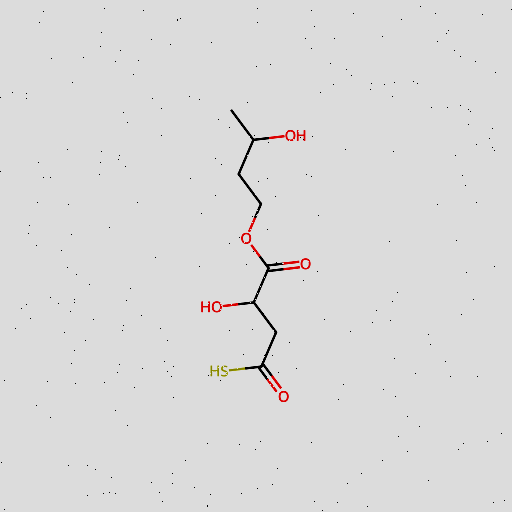 CC(O)CCOC(=O)C(O)CC(=O)S